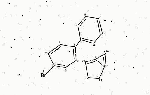 Brc1ccc(-c2ccccc2)cc1.c1cc2cc-2c1